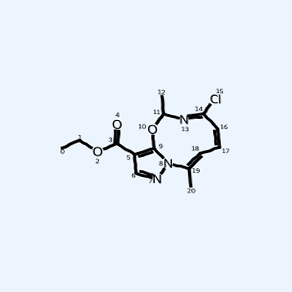 CCOC(=O)c1cnn2c1OC(C)/N=C(Cl)/C=C\C=C\2C